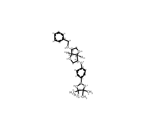 CC1(C)OB(c2ccc(O[C@@H]3CO[C@H]4[C@@H]3OC[C@H]4OCc3ccccc3)cc2)OC1(C)C